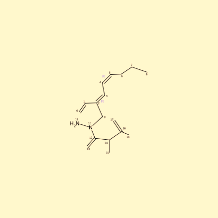 C=C/C(=C\C=C/CCC)CN(N)C(=C)C(C)C(=C)C